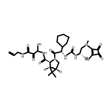 C=CCNC(=O)C(=O)C(CCC)NC(=O)[C@@H]1[C@@H]2[C@H](CN1C(=O)[C@@H](NC(=O)N[C@H](CN(C)c1c(C(C)(C)C)c(=O)c1=O)C(C)(C)C)C1CCCCC1)C2(C)C